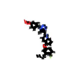 Cc1cc(Oc2cccc3nc(-c4cn(-c5ccc(O)cc5)nn4)ccc23)ccc1F